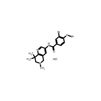 CC(C)Oc1ccc(C(=O)Nc2cnc3c(c2)CN(C)CC3(C)C)cc1Br.Cl